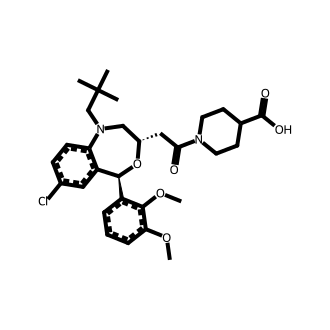 COc1cccc([C@@H]2O[C@@H](CC(=O)N3CCC(C(=O)O)CC3)CN(CC(C)(C)C)c3ccc(Cl)cc32)c1OC